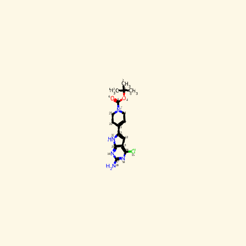 CC(C)(C)OC(=O)N1CC=C(c2cc3c(Cl)nc(N)nc3[nH]2)CC1